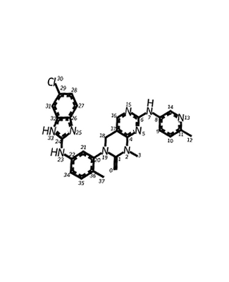 C=C1N(C)c2nc(Nc3ccc(C)nc3)ncc2CN1c1cc(Nc2nc3ccc(Cl)cc3[nH]2)ccc1C